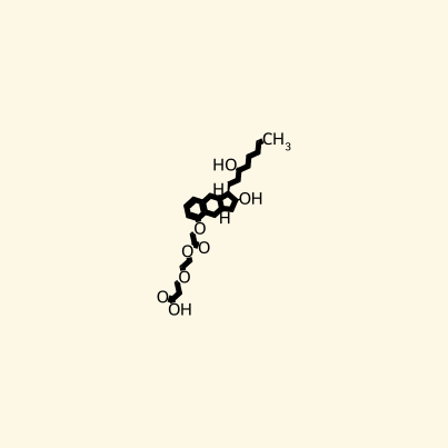 CCCCC[C@H](O)CC[C@@H]1[C@H]2Cc3cccc(OCC(=O)OCCOCCC(=O)O)c3C[C@H]2C[C@H]1O